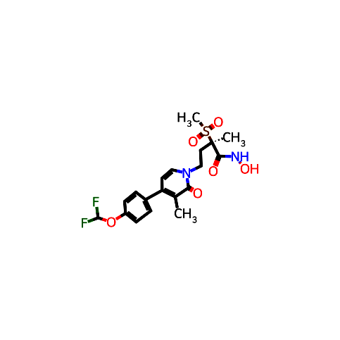 Cc1c(-c2ccc(OC(F)F)cc2)ccn(CC[C@](C)(C(=O)NO)S(C)(=O)=O)c1=O